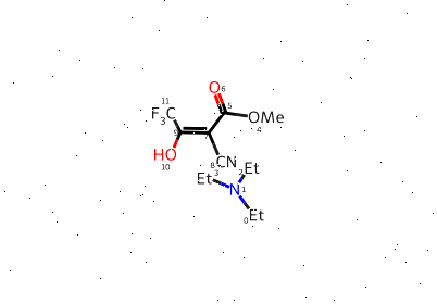 CCN(CC)CC.COC(=O)/C(C#N)=C(/O)C(F)(F)F